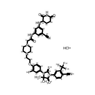 CC1(C)C(=O)N(c2ccc(C#N)c(C(F)(F)F)c2)C(=S)N1c1ccc(OCCN2CCN(CC(=O)Nc3cc(C#N)cc(NC4CCC(=O)NC4=O)c3)CC2)c(F)c1.Cl